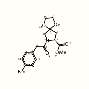 COC(=O)[C@@H]1CC2(CN1C(=O)Cc1ccc(Br)cc1)OCCO2